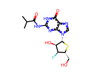 CC(C)C(=O)Nc1nc2c(ncn2[C@@H]2S[C@H](CO)[C@@H](F)[C@H]2O)c(=O)[nH]1